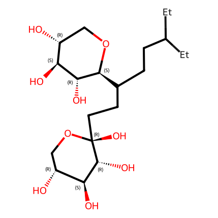 CCC(CC)CCC(CC[C@@]1(O)OC[C@@H](O)[C@H](O)[C@H]1O)[C@@H]1OC[C@@H](O)[C@H](O)[C@H]1O